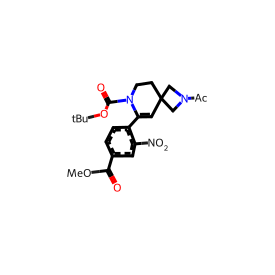 COC(=O)c1ccc(C2=CC3(CCN2C(=O)OC(C)(C)C)CN(C(C)=O)C3)c([N+](=O)[O-])c1